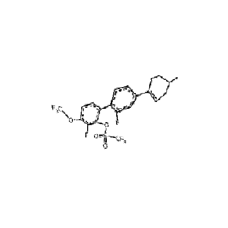 CC1CC=C(c2ccc(-c3ccc(OC(F)(F)F)c(F)c3OS(=O)(=O)C(F)(F)F)c(F)c2)CC1